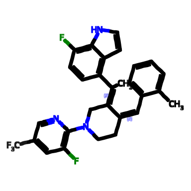 C/C(=C1/CN(c2ncc(C(F)(F)F)cc2F)CC/C1=C/c1ccccc1C)c1ccc(F)c2[nH]ccc12